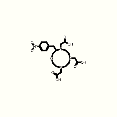 O=C(O)CN1CCOCC(CC2=CC=C([N+](=O)[O-])CC2)N(CC(=O)O)CCN(CC(=O)O)CC1